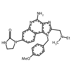 CCN(C)Cc1nc2c(N)nc3cc(N4CCNC4=O)ccc3c2n1Cc1ccc(OC)cc1